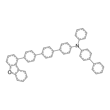 c1ccc(-c2ccc(N(c3ccccc3)c3ccc(-c4ccc(-c5ccc(-c6cccc7oc8ccccc8c67)cc5)cc4)cc3)cc2)cc1